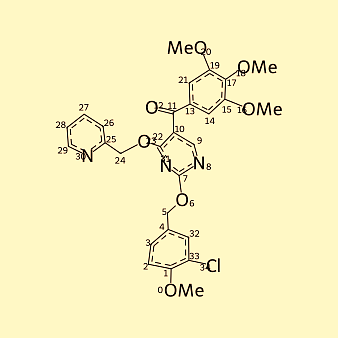 COc1ccc(COc2ncc(C(=O)c3cc(OC)c(OC)c(OC)c3)c(OCc3ccccn3)n2)cc1Cl